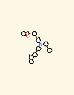 c1ccc(-c2cccc(N(c3ccc(-c4cccc(-c5cc6ccccc6o5)c4)cc3)c3ccc(-c4ccc5c(ccc6ccccc65)c4)cc3)c2)cc1